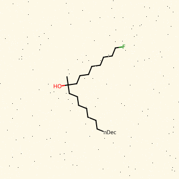 CCCCCCCCCCCCCCCCCC(C)(O)CCCCCCCCF